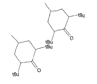 CC1CC(C(C)(C)C)C(=O)C(C(C)(C)C)C1.CC1CC(C(C)(C)C)C(=O)C(C(C)(C)C)C1